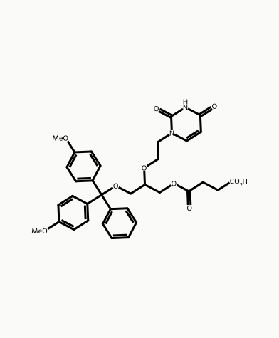 COc1ccc(C(OCC(COC(=O)CCC(=O)O)OCCn2ccc(=O)[nH]c2=O)(c2ccccc2)c2ccc(OC)cc2)cc1